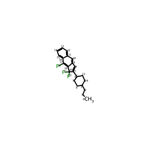 CCCC1CCC(C2=Cc3cc4ccccc4c(F)c3C2(F)F)CC1